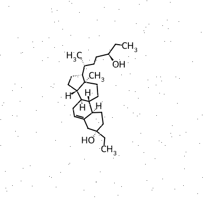 CC[C@@H](O)CC[C@@H](C)[C@H]1CC[C@H]2[C@@H]3CC=C4C[C@](O)(CC)CC[C@@H]4[C@H]3CC[C@]12C